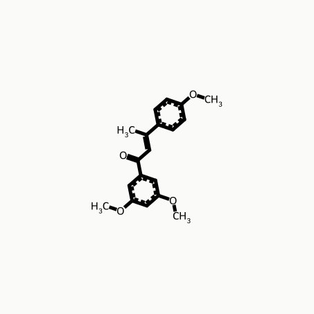 COc1ccc(C(C)=CC(=O)c2cc(OC)cc(OC)c2)cc1